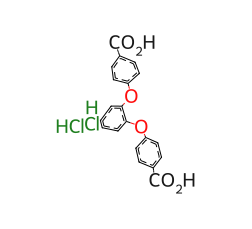 Cl.Cl.O=C(O)c1ccc(Oc2ccccc2Oc2ccc(C(=O)O)cc2)cc1